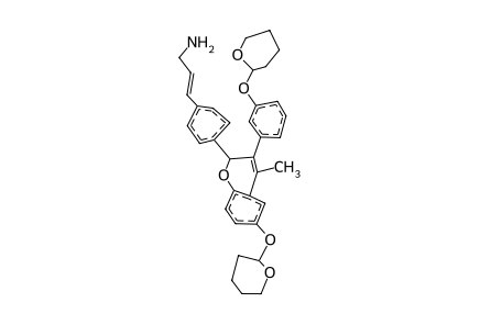 CC1=C(c2cccc(OC3CCCCO3)c2)C(c2ccc(C=CCN)cc2)Oc2ccc(OC3CCCCO3)cc21